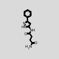 NC(=O)C[CH]C(=O)Nc1cc(-c2ccccc2)n[nH]1